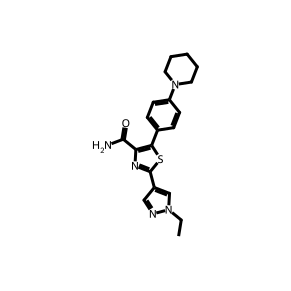 CCn1cc(-c2nc(C(N)=O)c(-c3ccc(N4CCCCC4)cc3)s2)cn1